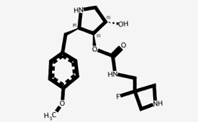 COc1ccc(C[C@H]2NC[C@H](O)[C@H]2OC(=O)NCC2(F)CNC2)cc1